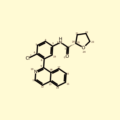 O=C(Nc1ccc(Cl)c(-c2nccc3ccccc23)c1)[C@@H]1CCCO1